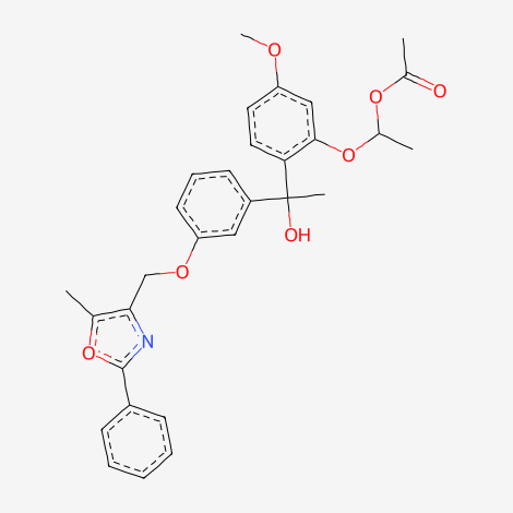 COc1ccc(C(C)(O)c2cccc(OCc3nc(-c4ccccc4)oc3C)c2)c(OC(C)OC(C)=O)c1